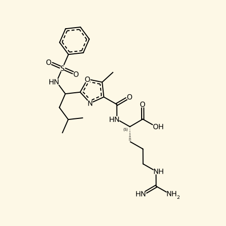 Cc1oc(C(CC(C)C)NS(=O)(=O)c2ccccc2)nc1C(=O)N[C@@H](CCCNC(=N)N)C(=O)O